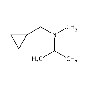 CC(C)N(C)CC1CC1